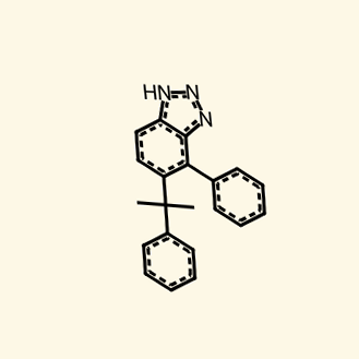 CC(C)(c1ccccc1)c1ccc2[nH]nnc2c1-c1ccccc1